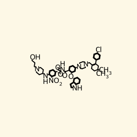 CC1(C)CCC(CN2CCN(c3ccc(C(=O)NS(=O)(=O)c4ccc(NC5CCN(CCCO)CC5)c([N+](=O)[O-])c4)c(Oc4cccc5[nH]ccc45)c3)CC2)=C(c2ccc(Cl)cc2)C1